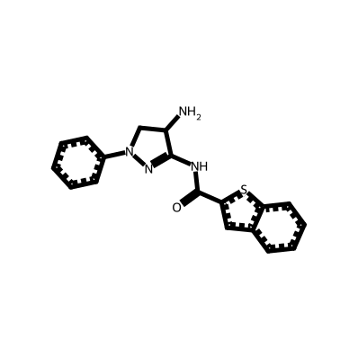 NC1CN(c2ccccc2)N=C1NC(=O)c1cc2ccccc2s1